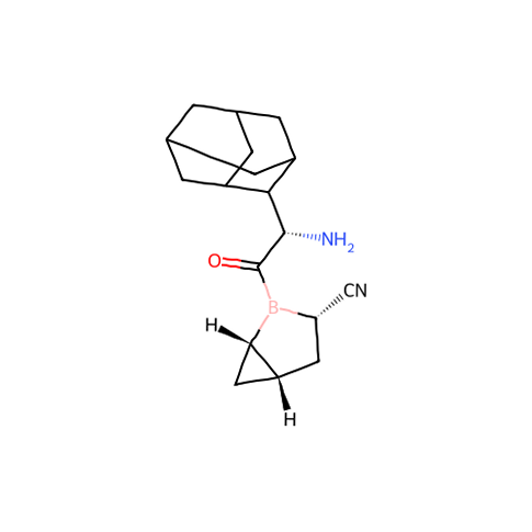 N#C[C@@H]1C[C@@H]2C[C@@H]2B1C(=O)[C@@H](N)C1C2CC3CC(C2)CC1C3